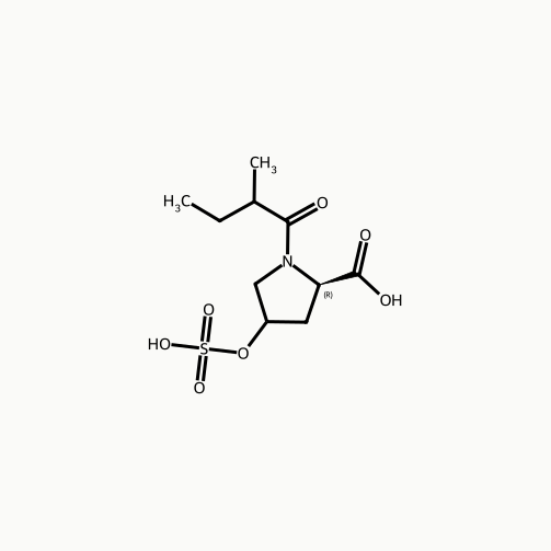 CCC(C)C(=O)N1CC(OS(=O)(=O)O)C[C@@H]1C(=O)O